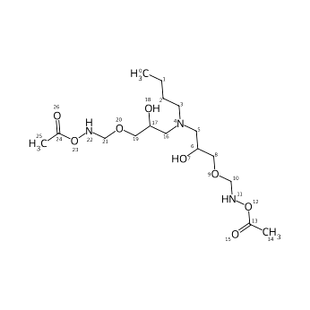 CCCCN(CC(O)COCNOC(C)=O)CC(O)COCNOC(C)=O